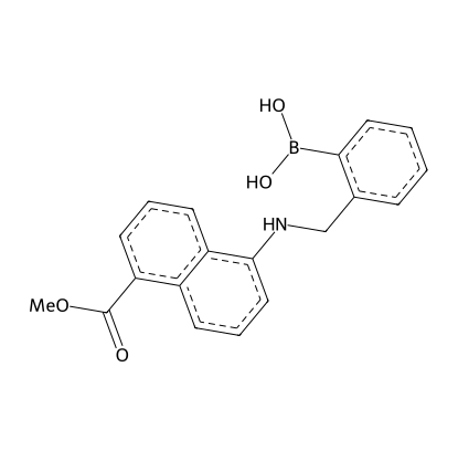 COC(=O)c1cccc2c(NCc3ccccc3B(O)O)cccc12